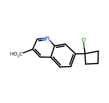 O=C(O)c1cnc2cc(C3(Cl)CCC3)ccc2c1